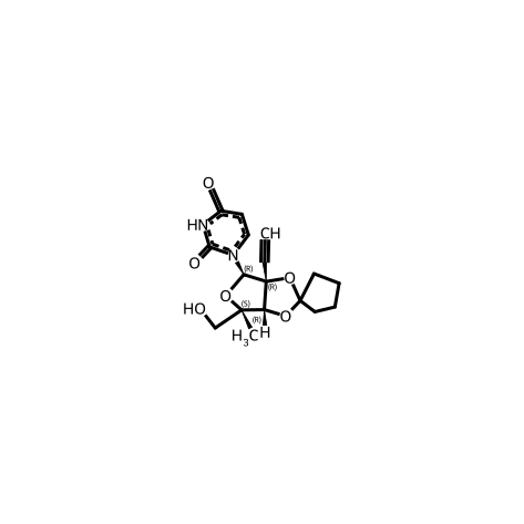 C#C[C@@]12OC3(CCCC3)O[C@@H]1[C@](C)(CO)O[C@H]2n1ccc(=O)[nH]c1=O